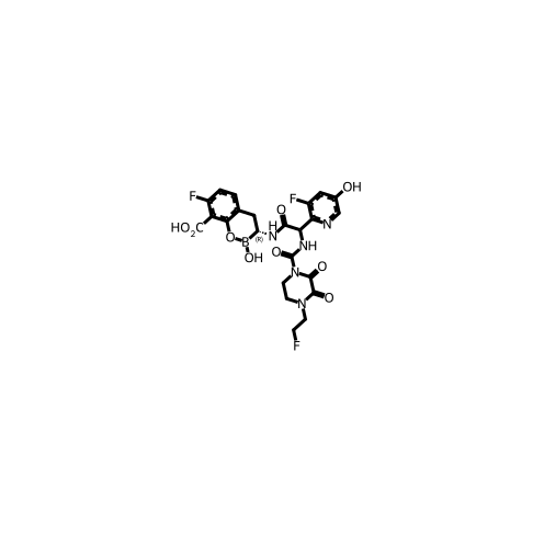 O=C(O)c1c(F)ccc2c1OB(O)[C@@H](NC(=O)C(NC(=O)N1CCN(CCF)C(=O)C1=O)c1ncc(O)cc1F)C2